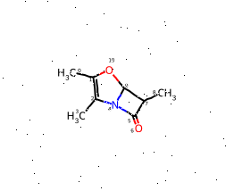 CC1=C(C)N2C(=O)C(C)C2O1